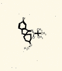 COC1CCC2(CC1)Cc1ccc(Br)cc1/C2=N/[S@+]([O-])C(C)(C)C